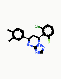 Cc1ccc([C@H]2C[C@@H](c3c(F)cccc3Cl)n3ncnc3N2)cc1C